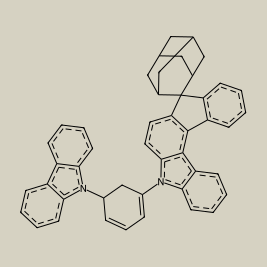 C1=CC(n2c3ccccc3c3ccccc32)CC(n2c3ccccc3c3c4c(ccc32)C2(c3ccccc3-4)C3CC4CC(C3)CC2C4)=C1